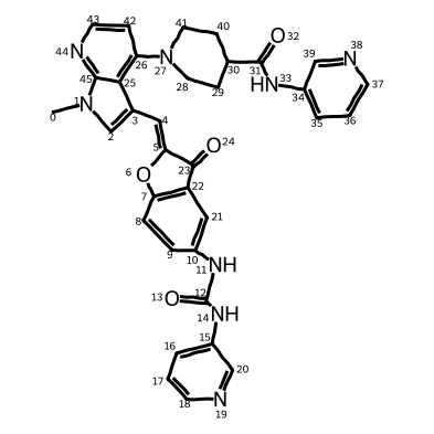 Cn1cc(C=C2Oc3ccc(NC(=O)Nc4cccnc4)cc3C2=O)c2c(N3CCC(C(=O)Nc4cccnc4)CC3)ccnc21